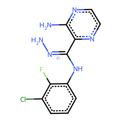 N/N=C(/Nc1cccc(Cl)c1F)c1nccnc1N